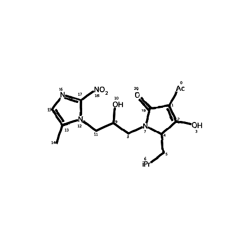 CC(=O)C1=C(O)C(CC(C)C)N(CC(O)Cn2c(C)cnc2[N+](=O)[O-])C1=O